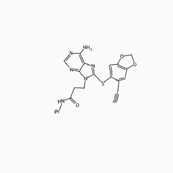 C#Cc1cc2c(cc1Sc1nc3c(N)ncnc3n1CCC(=O)NC(C)C)OCO2